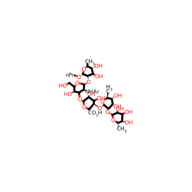 CCCO[C@@H]1OC(C)[C@H](O)C(O)[C@@H]1O[C@@H]1OC(CO)[C@H](O)C(O[C@@H]2OC(C(=O)O)[C@H](O[C@@H]3O[C@@H](C)[C@H](O)C(O)C3O[C@@H]3O[C@@H](C)[C@H](O)C(O)C3O)C(O)[C@@H]2O)[C@@H]1NC(C)=O